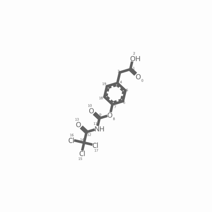 O=C(O)[CH]c1ccc(OC(=O)NC(=O)C(Cl)(Cl)Cl)cc1